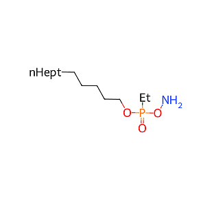 CCCCCCCCCCCCOP(=O)(CC)ON